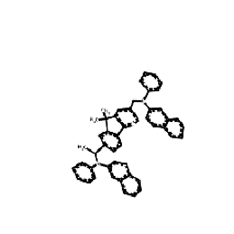 CC(c1ccc2c(c1)C(C)(C)c1cc(CN(c3ccccc3)c3ccc4ccccc4c3)ccc1-2)N(c1ccccc1)c1ccc2ccccc2c1